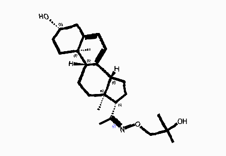 C/C(=N/OCC(C)(C)O)[C@H]1CC[C@H]2C3=CC=C4C[C@@H](O)CC[C@]4(C)[C@H]3CC[C@]12C